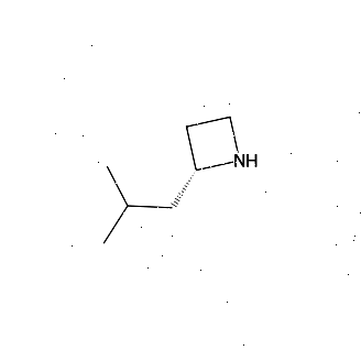 CC(C)C[C@@H]1CCN1